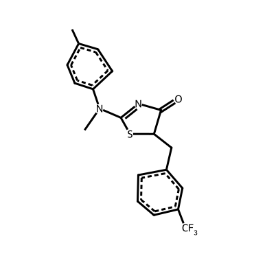 Cc1ccc(N(C)C2=NC(=O)C(Cc3cccc(C(F)(F)F)c3)S2)cc1